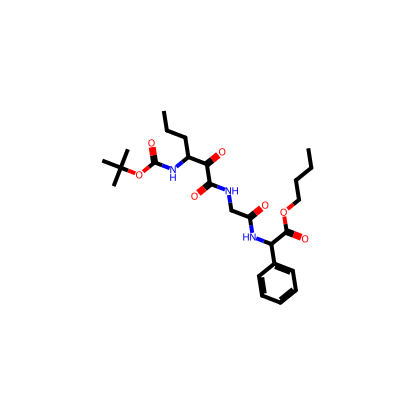 CCCCOC(=O)C(NC(=O)CNC(=O)C(=O)C(CCC)NC(=O)OC(C)(C)C)c1ccccc1